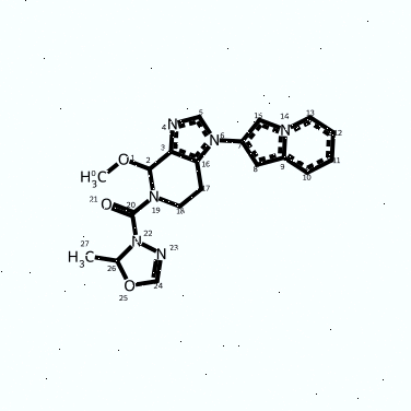 COC1c2ncn(-c3cc4ccccn4c3)c2CCN1C(=O)N1N=COC1C